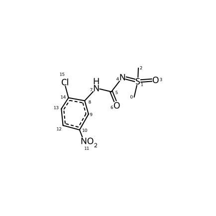 CS(C)(=O)=NC(=O)Nc1cc([N+](=O)[O-])ccc1Cl